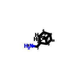 CC1(C)C2CCC(CN)C1C2